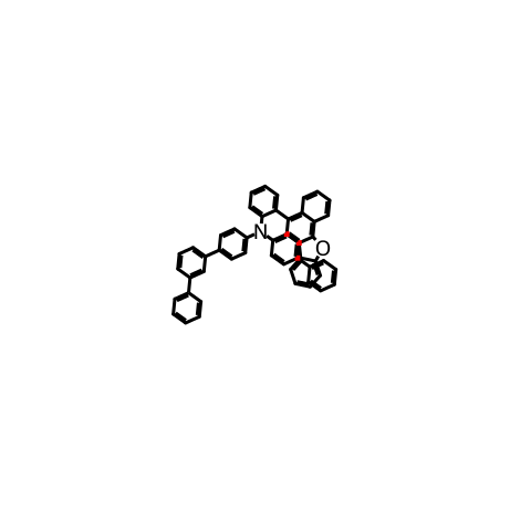 c1ccc(-c2ccc(N(c3ccc(-c4cccc(-c5ccccc5)c4)cc3)c3ccccc3-c3cc4c5ccccc5oc4c4ccccc34)cc2)cc1